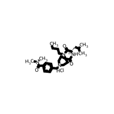 CCCCN1C(=O)[C@H](CC(C)C)NC(=O)C12CCN(Cc1ccc(C(=O)N(C)C)cc1)CC2.Cl